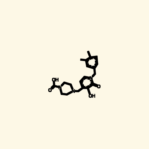 Cc1ccc(Cn2ccc(CN3CCN(C(=O)O)CC3)c(O)c2=O)cc1C